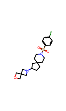 O=S(=O)(c1ccc(F)cc1)N1CCC2(CCC(N3CC4(COC4)C3)C2)CC1